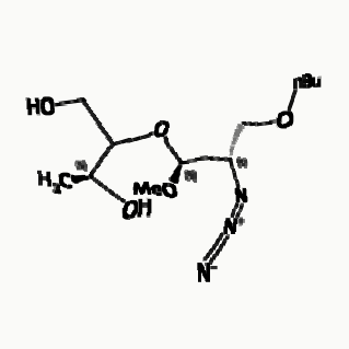 CCCCOC[C@H](N=[N+]=[N-])[C@@H](OC)OC(CO)[C@H](C)O